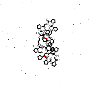 NCCCC[C@H](NC(=O)[C@@H]1CCCN1C(=O)CNC(=O)[C@@H]1CCCN1C(=O)[C@@H]1CCCN1C(=O)CNC(=O)[C@@H]1CCCN1C(=O)[C@@H]1CCCN1)C(=O)NCC(=O)N1CCC[C@H]1C(=O)N1CCC[C@H]1C(=O)NCC(=O)N1CCC[C@H]1C(=O)N1CCC[C@H]1C(=O)NCC(=O)N1CCC[C@H]1C(=O)N1CCC[C@H]1C(=O)NCC(=O)N1CCC[C@H]1C(=O)N1CCC[C@H]1C(=O)NCC(=O)O